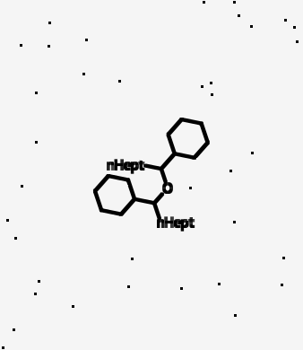 CCCCCCCC(OC(CCCCCCC)C1CCCCC1)C1CCCCC1